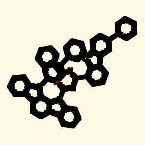 c1ccc(-c2ccc(-n3c4ccccc4c4ccc5c6ccccc6n(-c6nc(-c7ccccc7)nc(-c7cccc8c7oc7ccc(-c9ccccc9)cc78)n6)c5c43)cc2)cc1